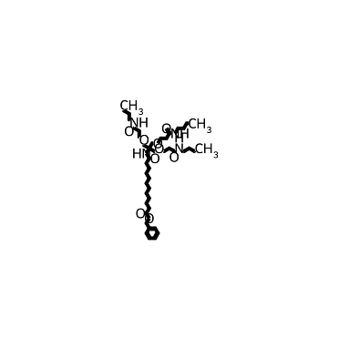 CCCCNC(=O)CCOCC(COCCC(=O)NCCCC)(COCCC(=O)NCCCC)NC(=O)CCCCCCCCCCC(=O)OCc1ccccc1